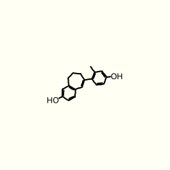 Cc1cc(O)ccc1C1=Cc2ccc(O)cc2CCC1